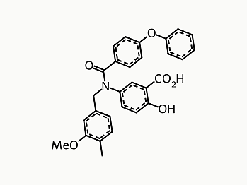 COc1cc(CN(C(=O)c2ccc(Oc3ccccc3)cc2)c2ccc(O)c(C(=O)O)c2)ccc1C